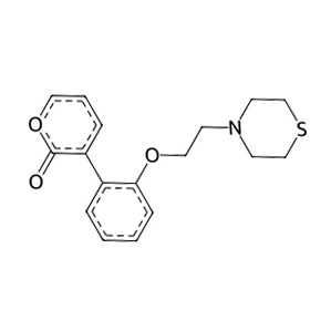 O=c1occcc1-c1ccccc1OCCN1CCSCC1